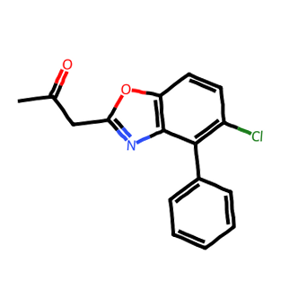 CC(=O)Cc1nc2c(-c3ccccc3)c(Cl)ccc2o1